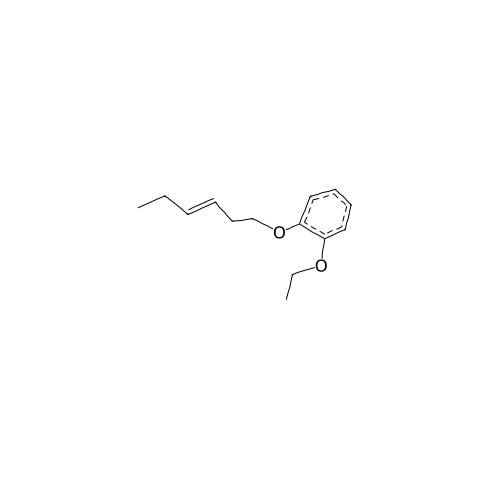 CCC=CCCOc1ccccc1OCC